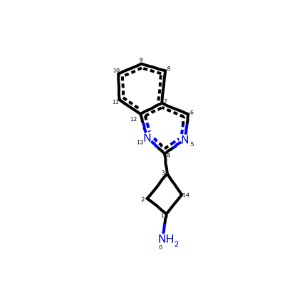 NC1CC(c2ncc3ccccc3n2)C1